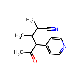 CC(=O)C(c1ccncc1)C(C)C(C)C#N